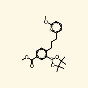 COC(=O)c1ccc(CCCc2cccc(OC)n2)c(B2OC(C)(C)C(C)(C)O2)c1